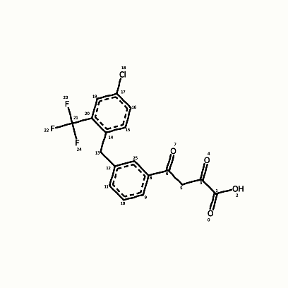 O=C(O)C(=O)CC(=O)c1cccc(Cc2ccc(Cl)cc2C(F)(F)F)c1